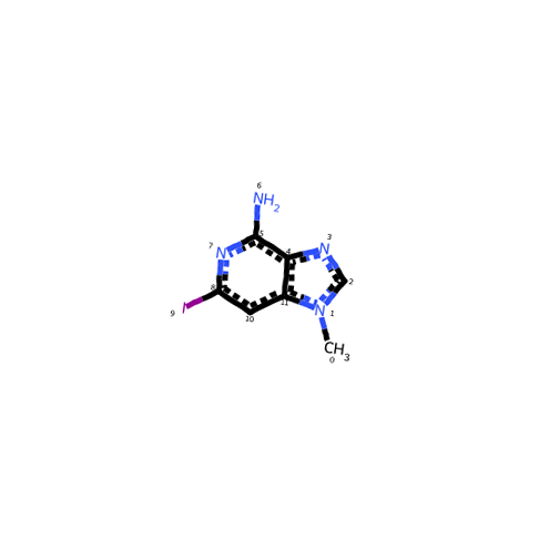 Cn1cnc2c(N)nc(I)cc21